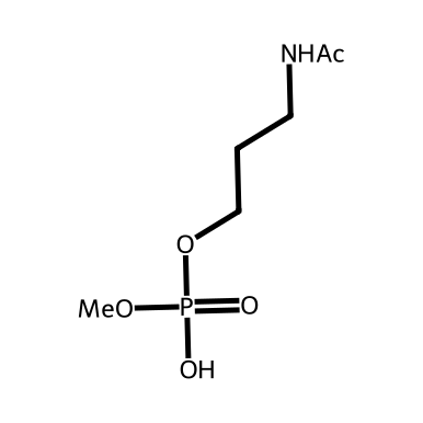 COP(=O)(O)OCCCNC(C)=O